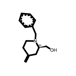 C=C1CCN(Cc2ccccc2)[C@@H](CO)C1